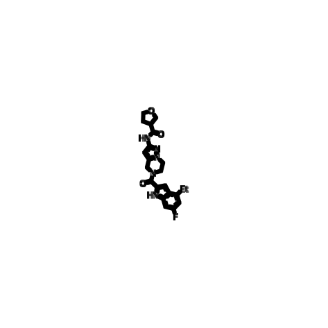 CCc1cc(F)cc2[nH]c(C(=O)N3CCn4nc(NC(=O)C5CCOC5)cc4C3)cc12